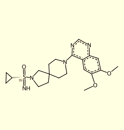 COc1cc2ncnc(N3CCC4(CC3)CCN([S@@](=N)(=O)C3CC3)C4)c2cc1OC